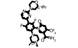 CC(C)[C@@H]1CN(c2nccc(-c3c(F)cc(N4CCN(C)[C@@H](C)C4)c(-n4cc(C(N)=O)c(C(F)(F)F)cc4=O)c3F)n2)CCO1